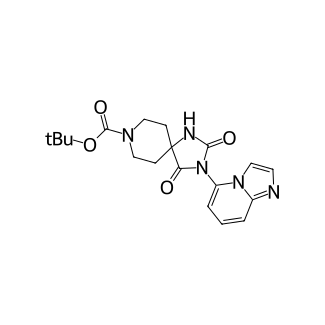 CC(C)(C)OC(=O)N1CCC2(CC1)NC(=O)N(c1cccc3nccn13)C2=O